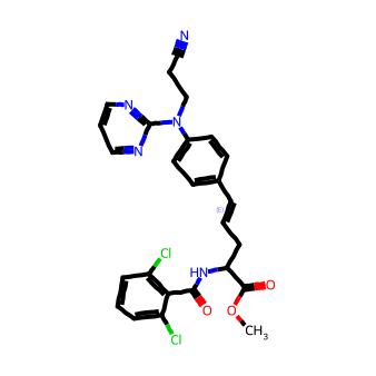 COC(=O)C(C/C=C/c1ccc(N(CCC#N)c2ncccn2)cc1)NC(=O)c1c(Cl)cccc1Cl